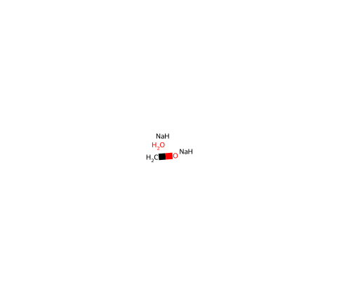 C=O.O.[NaH].[NaH]